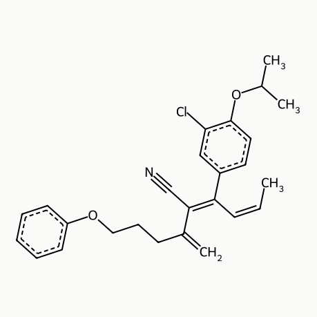 C=C(CCCOc1ccccc1)/C(C#N)=C(\C=C/C)c1ccc(OC(C)C)c(Cl)c1